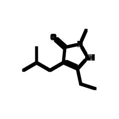 CCc1[nH]n(C)c(=O)c1CC(C)C